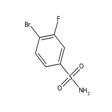 NS(=O)(=O)c1ccc(Br)c(F)c1